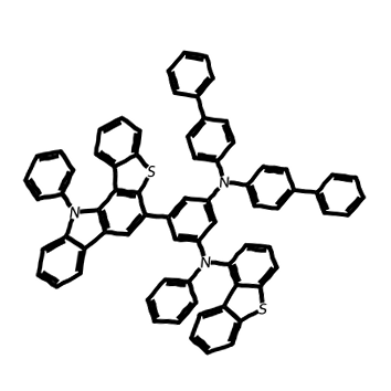 c1ccc(-c2ccc(N(c3ccc(-c4ccccc4)cc3)c3cc(-c4cc5c6ccccc6n(-c6ccccc6)c5c5c4sc4ccccc45)cc(N(c4ccccc4)c4cccc5sc6ccccc6c45)c3)cc2)cc1